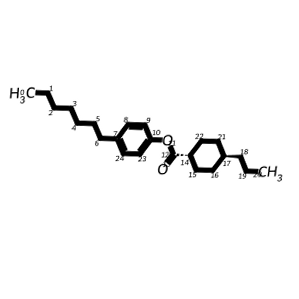 CCCCCCCc1ccc(OC(=O)[C@H]2CC[C@H](CCC)CC2)cc1